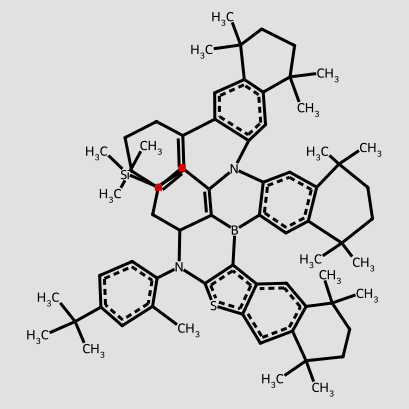 Cc1cc(C(C)(C)C)ccc1N1c2sc3cc4c(cc3c2B2C3=C(C=C([Si](C)(C)C)CC31)N(c1cc3c(cc1C1=CCCCC1)C(C)(C)CCC3(C)C)c1cc3c(cc12)C(C)(C)CCC3(C)C)C(C)(C)CCC4(C)C